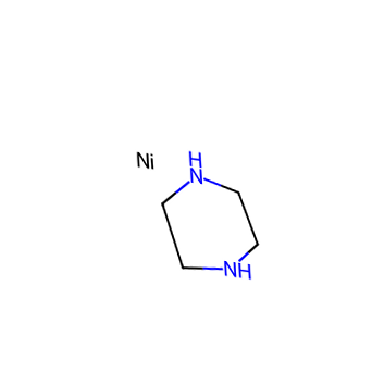 C1CNCCN1.[Ni]